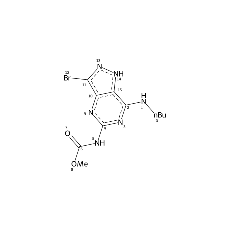 CCCCNc1nc(NC(=O)OC)nc2c(Br)n[nH]c12